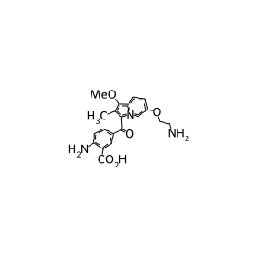 COc1c(C)c(C(=O)c2ccc(N)c(C(=O)O)c2)n2cc(OCCN)ccc12